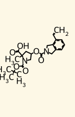 C=Cc1cccc2c1CN(C(=O)OC1CN(C(=O)OC(C)(C)C)C(C)(C(=O)O)C1)C2